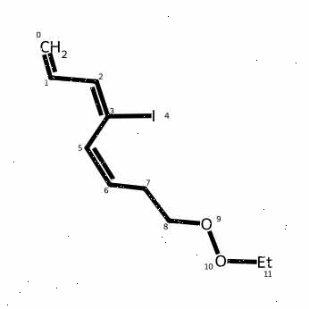 C=C/C=C(I)\C=C/CCOOCC